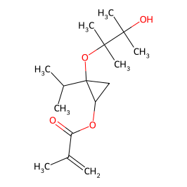 C=C(C)C(=O)OC1CC1(OC(C)(C)C(C)(C)O)C(C)C